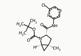 CC(C)(C)OC(=O)N1[C@H](C(=O)Nc2cncc(Cl)n2)C[C@@]2(C)C[C@@H]12